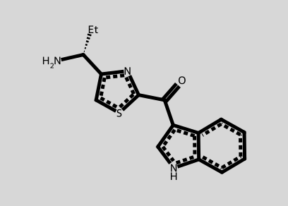 CC[C@@H](N)c1csc(C(=O)c2c[nH]c3ccccc23)n1